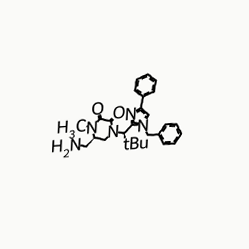 CN1C(=O)C(=O)N([C@@H](c2nc(-c3ccccc3)cn2Cc2ccccc2)C(C)(C)C)C[C@H]1CN